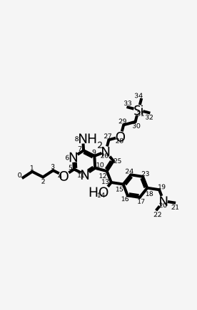 CCCCOc1nc(N)c2c(n1)c(C(O)c1ccc(CN(C)C)cc1)cn2COCC[Si](C)(C)C